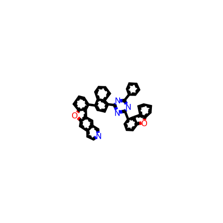 c1ccc(-c2nc(-c3ccc(-c4cccc5oc6cc7ccncc7cc6c45)c4ccccc34)nc(-c3cccc4oc5ccccc5c34)n2)cc1